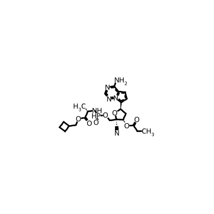 CCC(=O)O[C@H]1C[C@H](c2ccc3c(N)ncnn23)O[C@]1(C#N)CO[PH](=O)N[C@@H](C)C(=O)OCC1CCC1